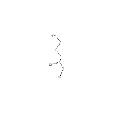 CCCCCCC(Cl)CS